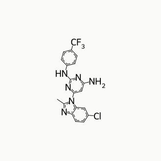 Cc1nc2ccc(Cl)cc2n1-c1cc(N)nc(Nc2ccc(C(F)(F)F)cc2)n1